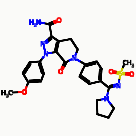 COc1ccc(-n2nc(C(N)=O)c3c2C(=O)N(c2ccc(/C(=N\S(C)(=O)=O)N4CCCC4)cc2)CC3)cc1